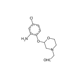 Nc1cc(Cl)ccc1OC1CN(CC=O)CCO1